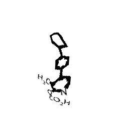 Cc1c(-c2ccc(C3CCCCC3)cc2)ccnc1OC(=O)O